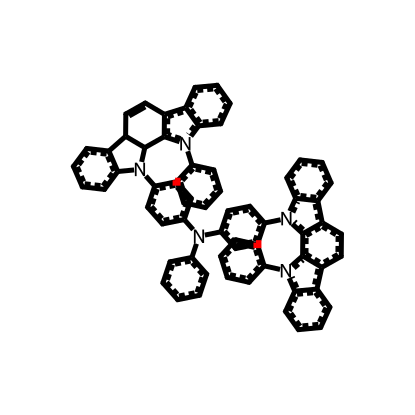 C1=CC2c3ccccc3N(c3ccc(N(c4ccccc4)c4ccc(-n5c6ccccc6c6ccc7c8ccccc8n(-c8ccccc8)c7c65)cc4)cc3)C2c2c1c1ccccc1n2-c1ccccc1